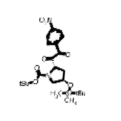 CC(C)(C)OC(=O)N1C[C@H](O[Si](C)(C)C(C)(C)C)C[C@H]1C(=O)C(=O)c1ccc([N+](=O)[O-])cc1